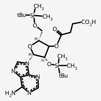 CC(C)(C)[Si](C)(C)OC[C@H]1O[C@@H](n2cnc3c(N)ncnc32)[C@@H](O[Si](C)(C)C(C)(C)C)C1OC(=O)CCC(=O)O